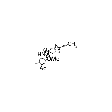 CC#Cc1nc2c(s1)CN(S(=O)(=O)Nc1cc(F)c(C(C)=O)cc1OC)C2